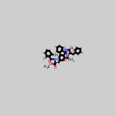 COC(=O)[C@H](Cc1ccc(C2(c3ccccc3)NC(=O)C(Cc3ccccc3)N2C(C)=O)cc1)NC(=O)c1c(C)cccc1Cl